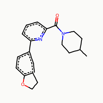 CC1CCN(C(=O)c2cccc(-c3ccc4c(c3)CCO4)n2)CC1